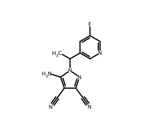 CC(c1cncc(F)c1)n1nc(C#N)c(C#N)c1N